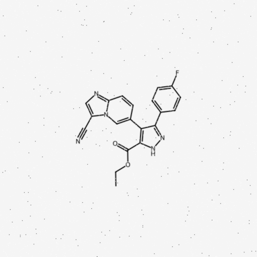 CCOC(=O)c1[nH]nc(-c2ccc(F)cc2)c1-c1ccc2ncc(C#N)n2c1